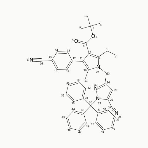 CCc1c(C(=O)OC(C)(C)C)c(-c2ccc(C#N)cc2)c(C)n1Cc1cc(C#N)n(C(c2ccccc2)(c2ccccc2)c2ccccc2)n1